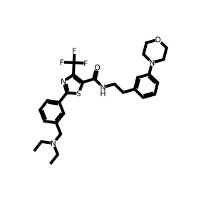 CCN(CC)Cc1cccc(-c2nc(C(F)(F)F)c(C(=O)NCCc3cccc(N4CCOCC4)c3)s2)c1